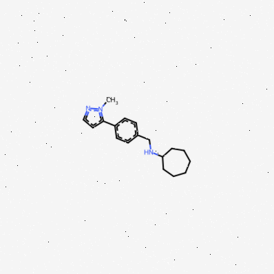 Cn1nccc1-c1ccc(CNC2CCCCCC2)cc1